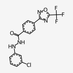 O=C(NNc1cccc(Cl)c1)c1ccc(-c2noc(C(F)(F)F)n2)cc1